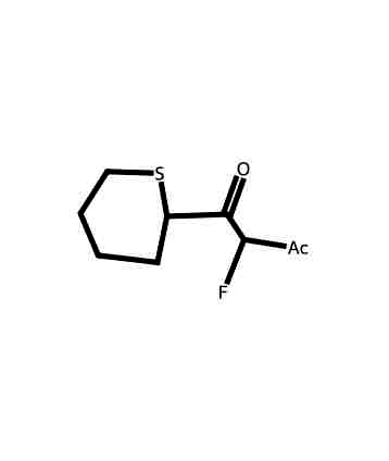 CC(=O)C(F)C(=O)C1CCCCS1